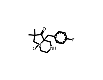 CC1(C)C[N+]2([O-])CCNCC2(Cc2ccc(F)cc2)C1=O